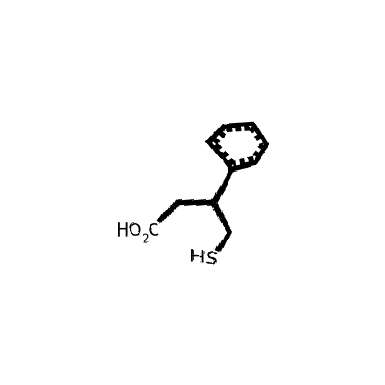 O=C(O)CC(CS)c1ccccc1